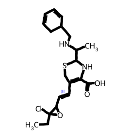 CCC1(Cl)OC1/C=C/C1=C(C(=O)O)NC(C(C)NCC2C=CC=CC2)SC1